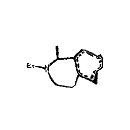 CCN1CCc2ccccc2C1C